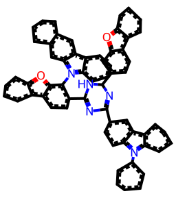 c1ccc(-n2c3ccccc3c3cc(C4=NC(c5ccc6c(c5)oc5ccccc56)NC(c5ccc6c(oc7ccccc76)c5-n5c6ccccc6c6cc7ccccc7cc65)=N4)ccc32)cc1